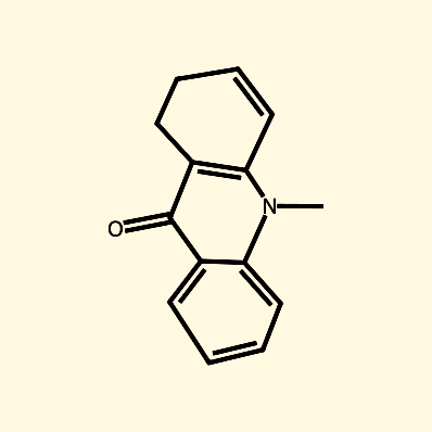 Cn1c2c(c(=O)c3ccccc31)CCC=C2